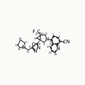 N#Cc1ccc(N2C[C@]3(c4nnc(CN5CCCC5)o4)C[C@]3(C(F)(F)F)C2)c2cccnc12